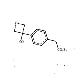 CCOC(=O)Cc1ccc(C2(O)COC2)cc1